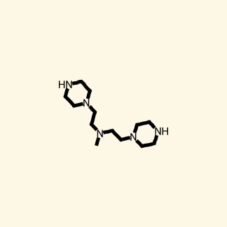 CN(CCN1CCNCC1)CCN1CCNCC1